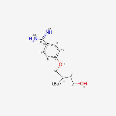 CC(C)(C)C(CCO)COc1ccc(C(=N)N)cc1